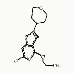 CCOc1nc(Cl)cc2nn(C3CCOCC3)cc12